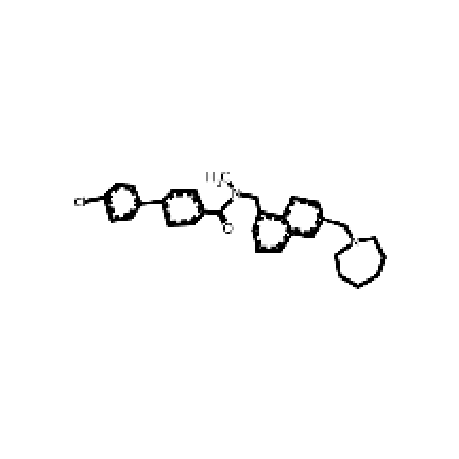 CN(Cc1cccc2cc(CN3CCCCCC3)ccc12)C(=O)c1ccc(-c2ccc(Cl)cc2)cc1